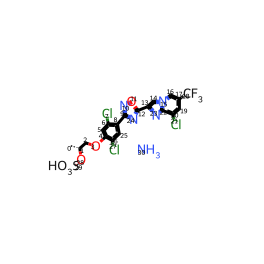 C[C@H](COc1cc(Cl)c(-c2noc(-c3cn4cc(C(F)(F)F)cc(Cl)c4n3)n2)cc1Cl)OS(=O)(=O)O.N